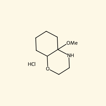 COC12CCCCC1OCCN2.Cl